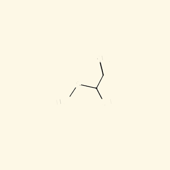 [CH2]CC(C)SC